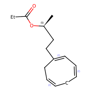 CCC(=O)O[C@@H](C)CC/C1=C/C=C\C/C=C\C1